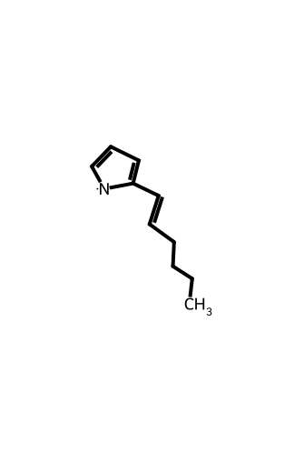 CCCCC=CC1=CC=C[N]1